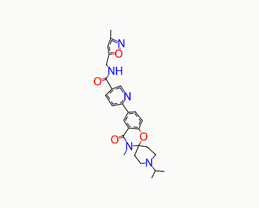 Cc1cc(CNC(=O)c2ccc(-c3ccc4c(c3)C(=O)N(C)C3(CCN(C(C)C)CC3)O4)nc2)on1